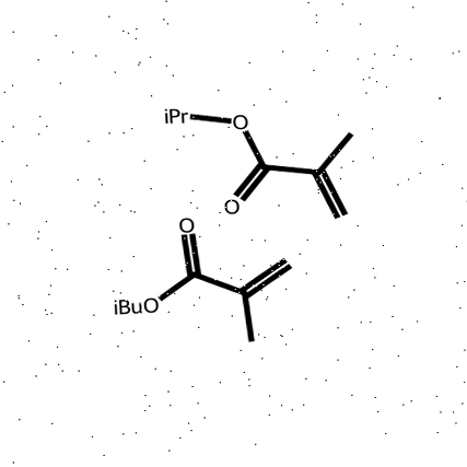 C=C(C)C(=O)OC(C)C.C=C(C)C(=O)OCC(C)C